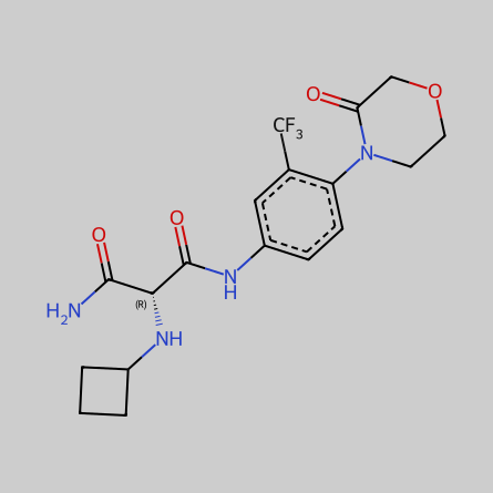 NC(=O)[C@@H](NC1CCC1)C(=O)Nc1ccc(N2CCOCC2=O)c(C(F)(F)F)c1